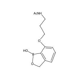 CC(=O)NCCCOc1cccc2c1B(O)OC2